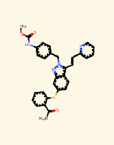 CNC(=O)c1ccccc1Sc1ccc2c(/C=C/c3ccccn3)n(Cc3ccc(NC(=O)OC(C)(C)C)cc3)nc2c1